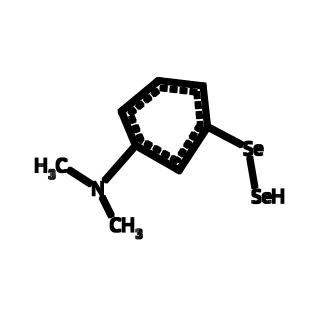 CN(C)c1cccc([Se][SeH])c1